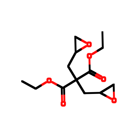 CCOC(=O)C(CC1CO1)(CC1CO1)C(=O)OCC